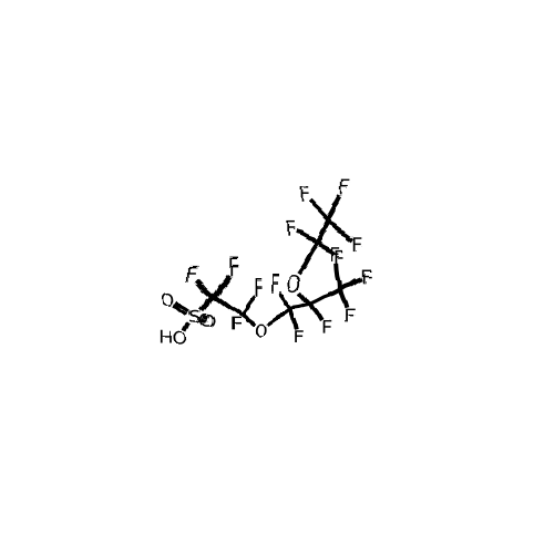 O=S(=O)(O)C(F)(F)C(F)(F)OC(F)(F)C(F)(OC(F)(F)C(F)(F)F)C(F)(F)F